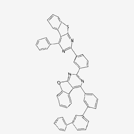 c1ccc(-c2cccc(-c3cccc(-c4nc(-c5cccc(-c6nc(-c7ccccc7)c7c(n6)sc6ccccc67)c5)nc5oc6ccccc6c45)c3)c2)cc1